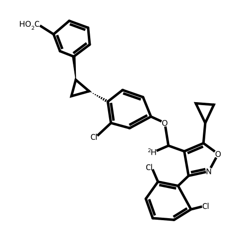 [2H]C(Oc1ccc([C@@H]2C[C@H]2c2cccc(C(=O)O)c2)c(Cl)c1)c1c(-c2c(Cl)cccc2Cl)noc1C1CC1